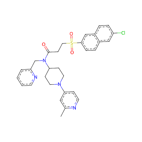 Cc1cc(N2CCC(N(Cc3ccccn3)C(=O)CCS(=O)(=O)c3ccc4cc(Cl)ccc4c3)CC2)ccn1